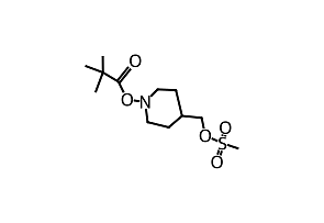 CC(C)(C)C(=O)ON1CCC(COS(C)(=O)=O)CC1